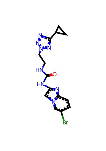 O=C(NCCn1nnc(C2CC2)n1)Nc1cn2cc(Br)ccc2n1